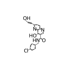 O=C(NCc1ccc(Cl)cc1)c1cnc2ccc(C#CCO)nc2c1O